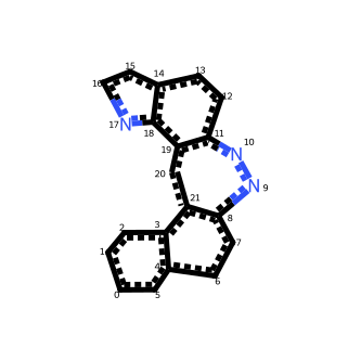 c1ccc2c(c1)ccc1nnc3ccc4ccnc4c3cc12